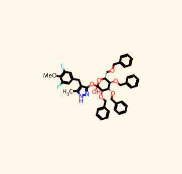 COc1c(F)cc(Cc2c(O[C@]3(O)O[C@H](COCc4ccccc4)[C@@H](OCc4ccccc4)[C@H](OCc4ccccc4)[C@H]3OCc3ccccc3)n[nH]c2C)cc1F